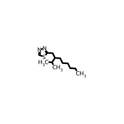 CCCCCCC(Cc1nncs1)C(C)C